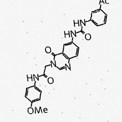 COc1ccc(NC(=O)Cn2cnc3ccc(NC(=O)Nc4cccc(C(C)=O)c4)cc3c2=O)cc1